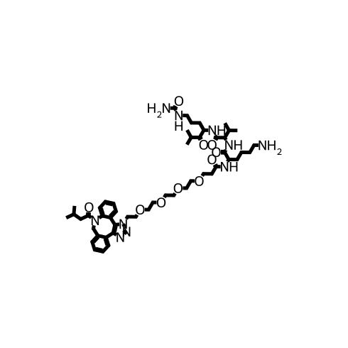 CC(C)CC(=O)N1Cc2ccccc2-c2nnn(CCOCCOCCOCCOCCC(=O)NC(CCCCN)C(=O)NC(C(=O)NC(CCCNC(N)=O)C(=O)C(C)C)C(C)C)c2-c2ccccc21